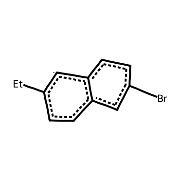 CCc1[c]c2ccc(Br)cc2cc1